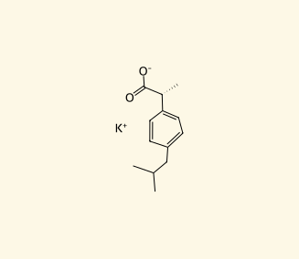 CC(C)Cc1ccc([C@@H](C)C(=O)[O-])cc1.[K+]